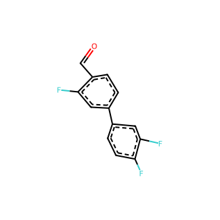 O=Cc1ccc(-c2ccc(F)c(F)c2)cc1F